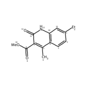 CCc1ccc2c(C)c(C(=O)OC)c(=O)[nH]c2c1